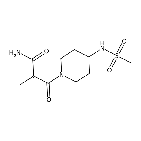 C[C](C(N)=O)C(=O)N1CCC(NS(C)(=O)=O)CC1